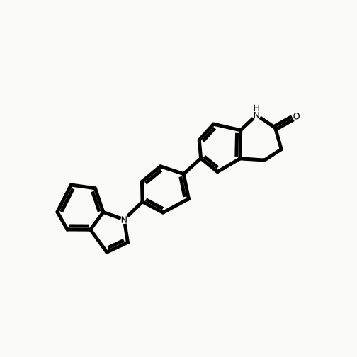 O=C1CCc2cc(-c3ccc(-n4ccc5ccccc54)cc3)ccc2N1